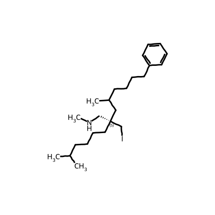 CNC[C@](CI)(CCCCC(C)C)CC(C)CCCCc1ccccc1